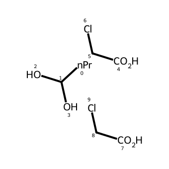 CCCC(O)O.O=C(O)CCl.O=C(O)CCl